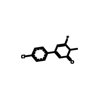 CC1C(=O)C=C(c2ccc(Cl)cc2)C=C1F